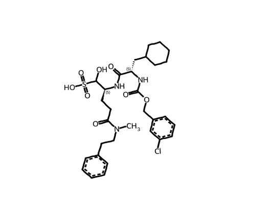 CN(CCc1ccccc1)C(=O)CC[C@H](NC(=O)[C@H](CC1CCCCC1)NC(=O)OCc1cccc(Cl)c1)C(O)S(=O)(=O)O